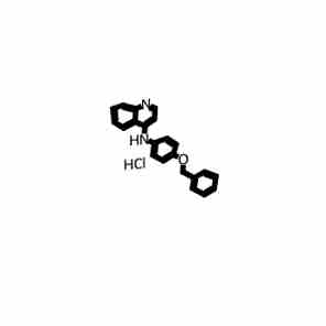 Cl.c1ccc(COc2ccc(Nc3ccnc4ccccc34)cc2)cc1